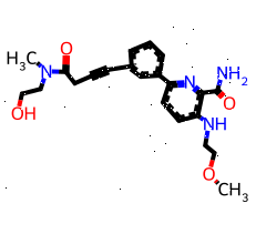 COCCNc1ccc(-c2cccc(C#CCC(=O)N(C)CCO)c2)nc1C(N)=O